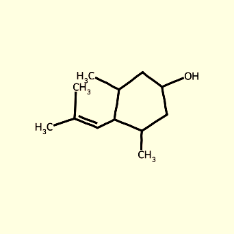 CC(C)=CC1C(C)CC(O)CC1C